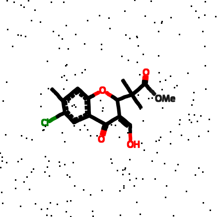 COC(=O)C(C)(C)C1Oc2cc(C)c(Cl)cc2C(=O)/C1=C\O